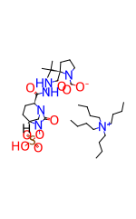 CC(C)(C)[C@@]1(C(=O)NNC(=O)[C@@H]2CC[C@@H]3CN2C(=O)N3OS(=O)(=O)O)CCCN1C(=O)[O-].CCCC[N+](CCCC)(CCCC)CCCC